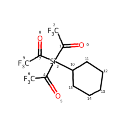 O=C(C(F)(F)F)[Si](C(=O)C(F)(F)F)(C(=O)C(F)(F)F)C1CCCCC1